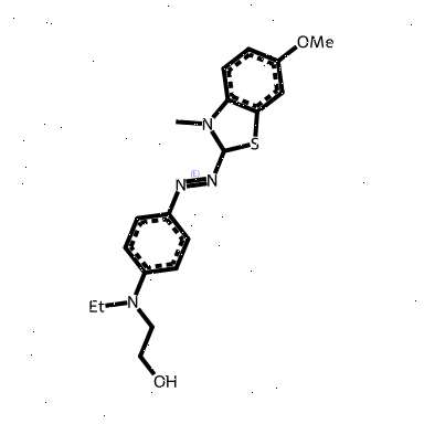 CCN(CCO)c1ccc(/N=N/C2Sc3cc(OC)ccc3N2C)cc1